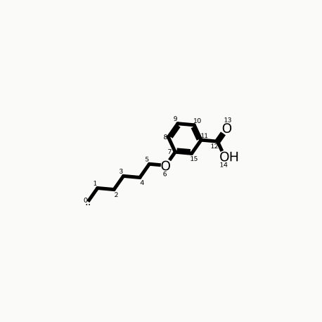 [CH]CCCCCOc1cccc(C(=O)O)c1